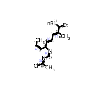 C/C=C\C(/C=C/C=C(\C)C(CC)CCCC)/N=C\N=C(/C)Cl